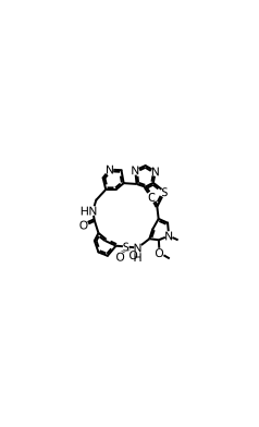 COC1C2=CC(=CN1C)c1cc3c(ncnc3s1)-c1cncc(c1)CNC(=O)c1cccc(c1)S(=O)(=O)N2